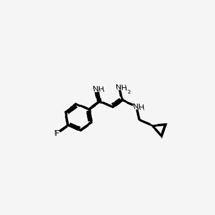 N=C(/C=C(\N)NCC1CC1)c1ccc(F)cc1